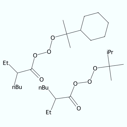 CCCCC(CC)C(=O)OOOC(C)(C)C(C)C.CCCCC(CC)C(=O)OOOC(C)(C)C1CCCCC1